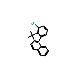 CC1(C)c2ccc3ccccc3c2-c2cccc(Br)c21